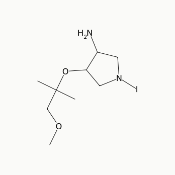 COCC(C)(C)OC1CN(I)CC1N